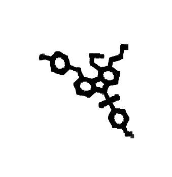 COCc1c(/C=N/O)ncc2c1c1c(Oc3ccc(Cl)cc3)cccc1n2S(=O)(=O)c1ccc(C)cc1